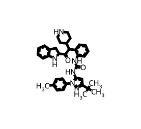 Cc1ccc(-n2nc(C(C)(C)C)cc2NC(=O)Nc2ccccc2C(C(=O)C2Cc3ccccc3N2)C2CCNCC2)cc1